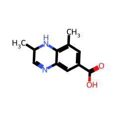 Cc1cc(C(=O)O)cc2c1NC(C)C=N2